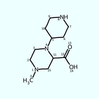 CN1CCN(C2CCNCC2)C(C(=O)O)C1